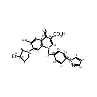 CC[C@@H]1CCN(c2cc3c(cc2F)c(=O)c(C(=O)O)cn3Cc2ccc(-n3cccn3)cc2)C1